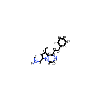 Cc1cc(CN(C)C)n2ccnc(CCc3ccccc3)c12